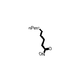 CCCCCCCCCC(=O)N=O